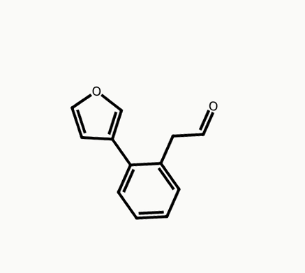 O=CCc1ccccc1-c1ccoc1